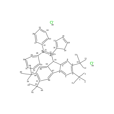 CC(C)(C)c1cc2c(cc1C(C)(C)C)[CH]([Zr+2]([C]1=CC=CC1)=[Si](c1ccccc1)c1ccccc1)c1cc(C(C)(C)C)c(C(C)(C)C)cc1-2.[Cl-].[Cl-]